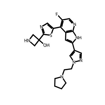 OC1(c2ncc(-c3c(F)cnc4[nH]c(-c5cnn(CCN6CCCC6)c5)cc34)s2)CNC1